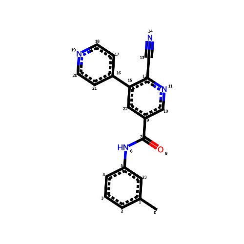 Cc1cccc(NC(=O)c2cnc(C#N)c(-c3ccncc3)c2)c1